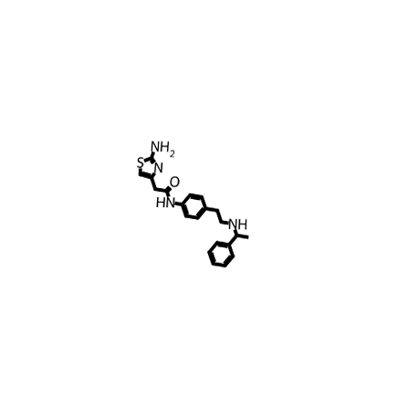 CC(NCCc1ccc(NC(=O)Cc2csc(N)n2)cc1)c1ccccc1